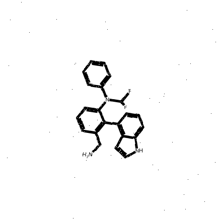 NCc1cccc(N(c2ccccc2)C(F)F)c1-c1cccc2[nH]ccc12